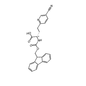 N#Cc1ccc(CC[C@H](NC(=O)OCC2c3ccccc3-c3ccccc32)C(=O)O)nc1